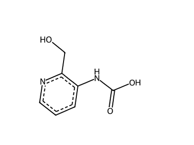 O=C(O)Nc1cccnc1CO